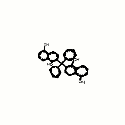 Oc1cccc2c(O)c(C(c3ccccc3)(c3ccccc3)c3ccc4c(O)cccc4c3O)ccc12